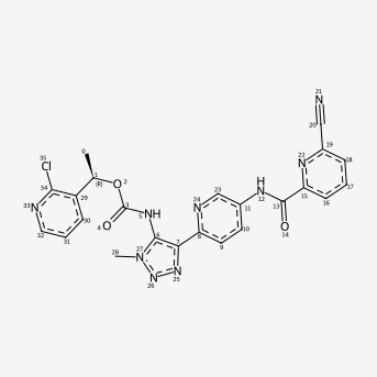 C[C@@H](OC(=O)Nc1c(-c2ccc(NC(=O)c3cccc(C#N)n3)cn2)nnn1C)c1cccnc1Cl